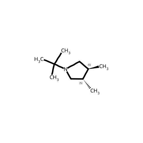 C[C@@H]1CN(C(C)(C)C)C[C@H]1C